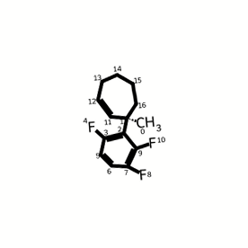 C[C@]1(c2c(F)ccc(F)c2F)C=CCCCC1